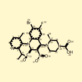 Cc1ccnc(C(C)C)c1N1C(=C=O)C([N+](=O)[O-])=C(N2CCN(C(=O)O)C[C@@H]2C)c2cc(F)c(Br)cc21